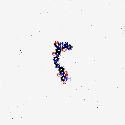 O=C1CCC(N2C(=O)c3ccc(N4CC(CN5CCC(N6Cc7cc(NC(=O)c8cnn9cccnc89)c(N8CCOCC8)cc7C6=O)CC5)C4)cc3C2=O)C(=O)N1